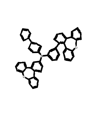 c1ccc(-c2ccc(N(c3cccc(-c4cccc5c4-c4ccccc4Oc4ccccc4-5)c3)c3ccc4c(c3)-c3ccccc3Oc3ccccc3-4)cc2)cc1